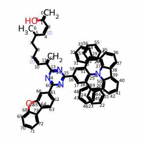 C=C(O)/C=C\C(C)CC/C=C\C(=C)c1nc(-c2cc(-c3ccccc3)c(-n3c4c(-c5ccccc5)cccc4c4cccc(-c5ccccc5)c43)c(-c3ccccc3)c2)nc(-c2ccc3c(c2)oc2ccccc23)n1